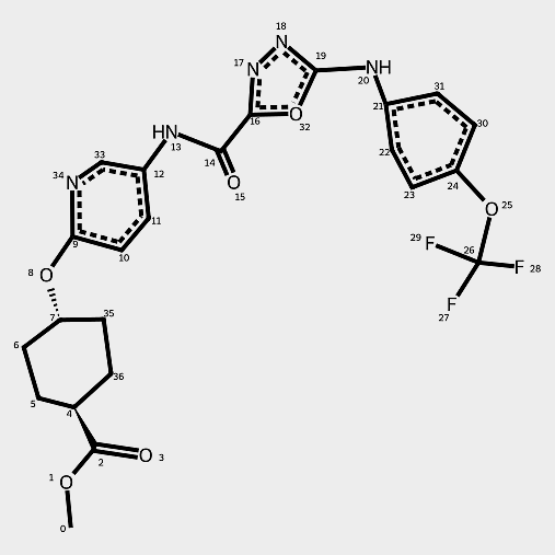 COC(=O)[C@H]1CC[C@H](Oc2ccc(NC(=O)c3nnc(Nc4ccc(OC(F)(F)F)cc4)o3)cn2)CC1